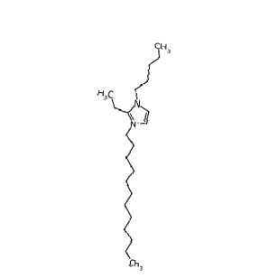 CCCCCCCCCCCC[n+]1ccn(CCCCC)c1CC